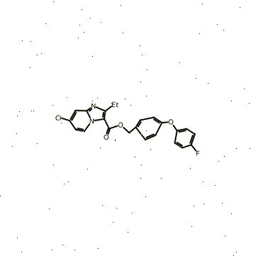 CCc1nc2cc(Cl)ccn2c1C(=O)OCc1ccc(Oc2ccc(F)cc2)cc1